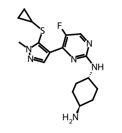 Cn1ncc(-c2nc(N[C@H]3CC[C@H](N)CC3)ncc2F)c1SC1CC1